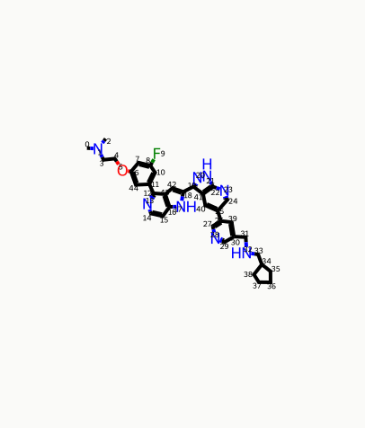 CN(C)CCOc1cc(F)cc(-c2nccc3[nH]c(-c4n[nH]c5ncc(-c6cncc(CNCC7CCCC7)c6)cc45)cc23)c1